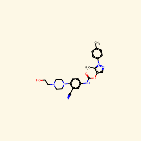 Cc1ccc(-n2ncc(OC(=O)Nc3ccc(N4CCN(CCO)CC4)c(C#N)c3)c2C)cc1